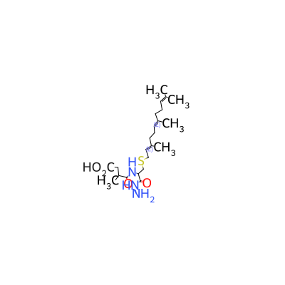 CC(C)=CCC/C(C)=C/CC/C(C)=C/CSCC(NC(=O)C(C)CC(=O)O)C(=O)NN